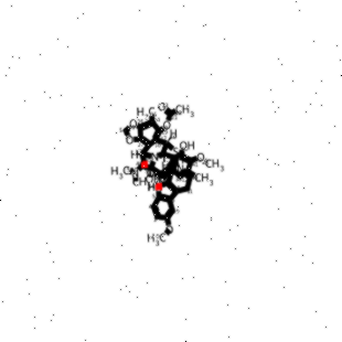 COc1ccc2[nH]c3c(c2c1)CCN[C@]31CS[C@@H]2c3c(OC(C)=O)c(C)c4c(c3[C@H](COC1=O)N1[C@@H]2c2c(cc(C)c(OC)c2O)C[C@@]1(O)CN(C)C)OCO4